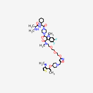 C=Nc1ccsc1/C(=C\C)OC1CCN(Cc2cc(OCCOCCOCCN(C)C(=O)c3c(C(=O)N4CCN(C(=O)[C@@H](NC(=O)[C@H](C)NC)C5CCCCC5)CC4)n(C)c4cc(F)c(F)cc34)no2)CC1